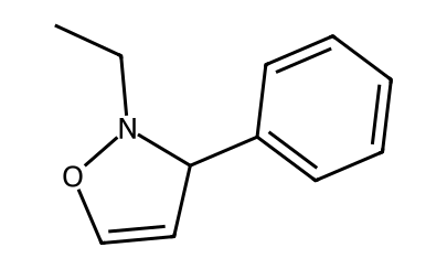 CCN1OC=CC1c1ccccc1